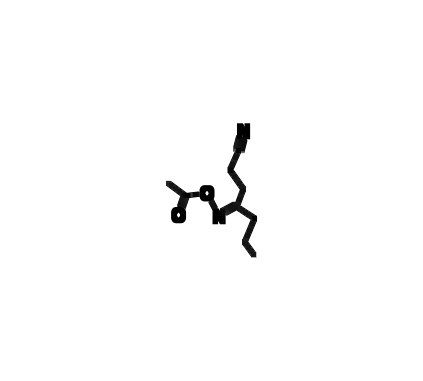 CCCC(CCC#N)=NOC(C)=O